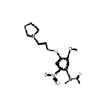 COc1cc(N(C)C(C)=O)c([N+](=O)[O-])cc1OCCCN1CCCC1